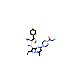 CCc1nn2c(C)cc(N3CCN(C(=O)CCl)CC3)nc2c1N(C)[SH]1C=NC(c2ccc(F)cc2)=C1C#N